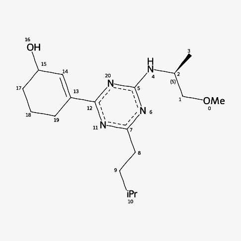 COC[C@H](C)Nc1nc(CCC(C)C)nc(C2=CC(O)CCC2)n1